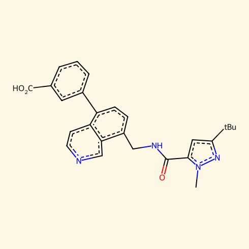 Cn1nc(C(C)(C)C)cc1C(=O)NCc1ccc(-c2cccc(C(=O)O)c2)c2ccncc12